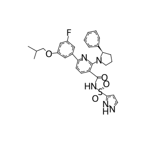 CC(C)COc1cc(F)cc(-c2ccc(C(=O)NS(=O)(=O)c3ccn[nH]3)c(N3CCC[C@@H]3c3ccccc3)n2)c1